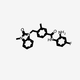 Cc1cc(C(=O)Nc2ccc(F)cc2N)ccc1Cn1c(=O)n(C)c2ccccc21